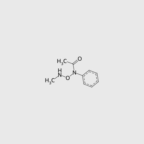 CNON(C(C)=O)c1ccccc1